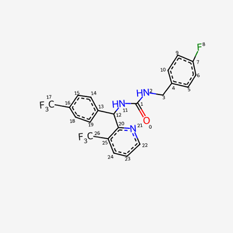 O=C(NCc1ccc(F)cc1)NC(c1ccc(C(F)(F)F)cc1)c1ncccc1C(F)(F)F